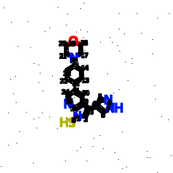 Sn1cc(-c2cn[nH]c2)c2cc([C@H]3CC[C@H](N4CCOCC4)CC3)cnc21